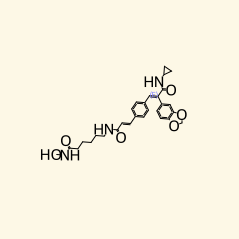 O=C(C=Cc1ccc(/C=C(/C(=O)NC2CC2)c2ccc3c(c2)OCO3)cc1)NCCCCCC(=O)NO